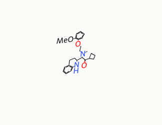 COc1ccccc1OCCN(C)C(C(=O)C1CCC1)C1CCc2ccccc2N1